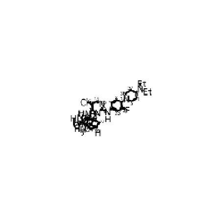 CCN(CC)C1CCN(c2ccc(Nc3ncc(Cl)c(N[C@@]4(C)[C@@H](C(=O)NC)C[C@H]5C[C@@H]4C5(C)C)n3)cc2F)CC1